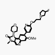 COc1cc2ncc3c(c2cc1-c1ccc(OCCCN2CCC(F)C2)nc1)n(N1CCOCC1)c(=O)n3C